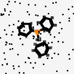 [Li][P](c1ccccc1)c1ccccc1.c1ccccc1